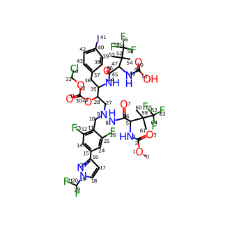 COC(=O)NC(C(=O)NN(Cc1c(F)cc(-c2ccn(C(F)F)n2)cc1F)CC(OC(=O)OCCl)C(Cc1ccc(I)cc1)NC(=O)C(NC(=O)O)C(C)(C)C(F)(F)F)C(C)(C)C(F)(F)F